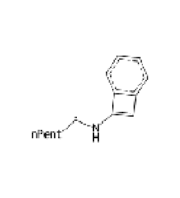 CCCCC[CH]NC1=Cc2ccccc21